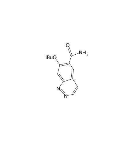 CC(C)COc1cc2nnccc2cc1C(N)=O